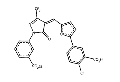 CCOC(=O)c1cccc(N2N=C(C(F)(F)F)C(=Cc3ccc(-c4ccc(Cl)c(C(=O)O)c4)o3)C2=O)c1